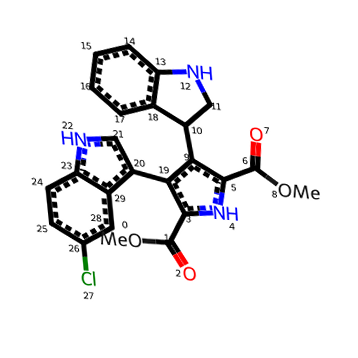 COC(=O)c1[nH]c(C(=O)OC)c(C2CNc3ccccc32)c1-c1c[nH]c2ccc(Cl)cc12